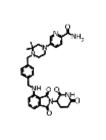 CC1(C)CN(c2ccc(C(N)=O)nc2)CCN1Cc1ccc(CNc2cccc3c2C(=O)N(C2CCC(=O)NC2=O)C3=O)cc1